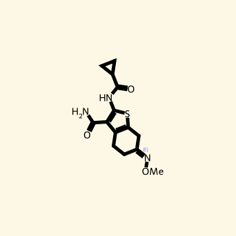 CO/N=C1\CCc2c(sc(NC(=O)C3CC3)c2C(N)=O)C1